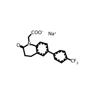 O=C([O-])CN1C(=O)CCc2cc(-c3ccc(C(F)(F)F)cc3)ccc21.[Na+]